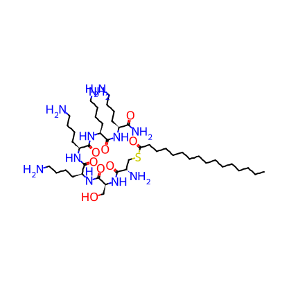 CCCCCCCCCCCCCCCC(=O)SC[C@H](N)C(=O)N[C@@H](CO)C(=O)N[C@@H](CCCCN)C(=O)N[C@@H](CCCCN)C(=O)N[C@@H](CCCCN)C(=O)N[C@@H](CCCCN)C(N)=O